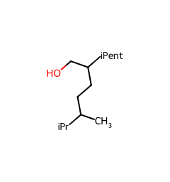 CCCC(C)C(CO)CCC(C)C(C)C